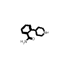 NC(=O)c1ccccc1C1CCNCC1